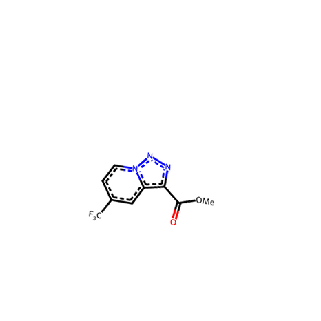 COC(=O)c1nnn2ccc(C(F)(F)F)cc12